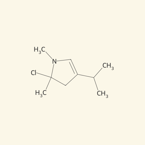 CC(C)C1=CN(C)C(C)(Cl)C1